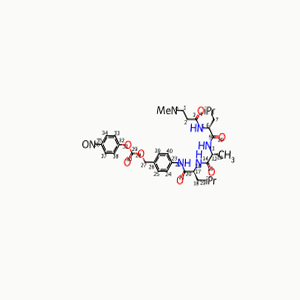 CNCCC(=O)N[C@@H](CC(C)C)C(=O)N[C@@H](C)C(=O)N[C@@H](CC(C)C)C(=O)Nc1ccc(COC(=O)Oc2ccc(N=O)cc2)cc1